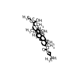 CCO[C@@H]([C@H]1C[C@@H](C)[C@H]2[C@H](O1)[C@H](O)[C@@]1(C)[C@@H]3CC[C@H]4C(C)(C)[C@@H](OC(=O)N5CC(NC)C5)CC[C@@]45C[C@@]35CC[C@]21C)C(C)(C)O